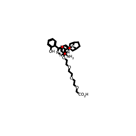 Nc1nnc(-c2ccccc2O)cc1N1CC2CCC(C1)N2c1cncc(OCCOCCOCCOCC(=O)O)n1